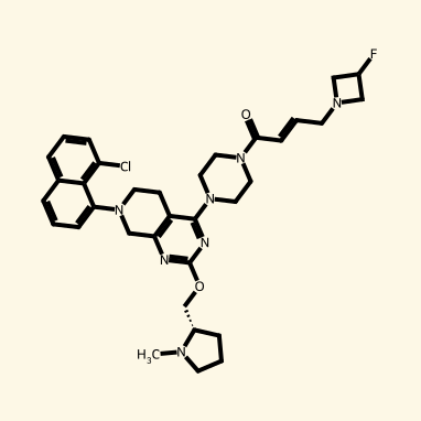 CN1CCC[C@H]1COc1nc2c(c(N3CCN(C(=O)/C=C/CN4CC(F)C4)CC3)n1)CCN(c1cccc3cccc(Cl)c13)C2